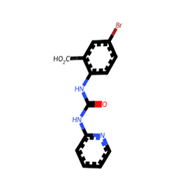 O=C(Nc1ccccn1)Nc1ccc(Br)cc1C(=O)O